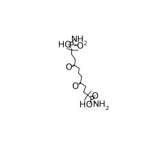 CC(C)(CCC(=O)CCCC(=O)CCC(C)(C)P(N)(=O)O)P(N)(=O)O